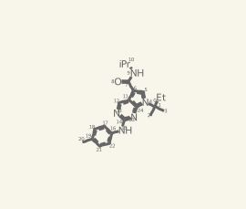 CCC(C)(C)n1cc(C(=O)NC(C)C)c2cnc(Nc3ccc(C)cc3)nc21